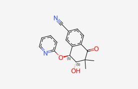 CC1(C)C(=O)c2ccc(C#N)cc2[C@H](Oc2ccccn2)[C@H]1O